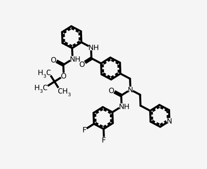 CC(C)(C)OC(=O)Nc1ccccc1NC(=O)c1ccc(CN(CCc2ccncc2)C(=O)Nc2ccc(F)c(F)c2)cc1